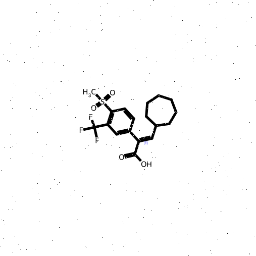 CS(=O)(=O)c1ccc(/C(=C\C2CCCCCC2)C(=O)O)cc1C(F)(F)F